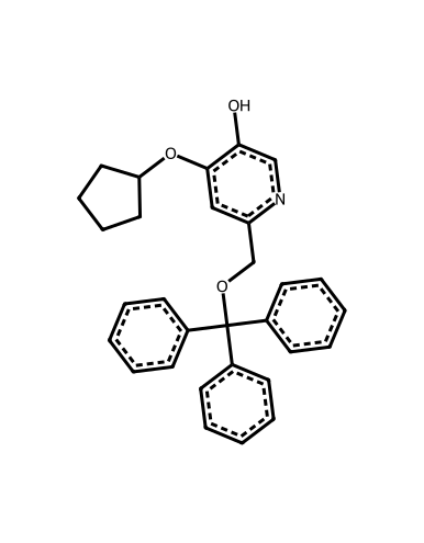 Oc1cnc(COC(c2ccccc2)(c2ccccc2)c2ccccc2)cc1OC1CCCC1